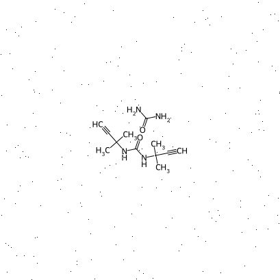 C#CC(C)(C)NC(=O)NC(C)(C)C#C.NC(N)=O